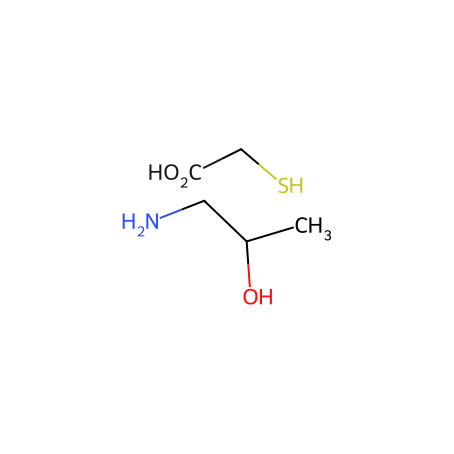 CC(O)CN.O=C(O)CS